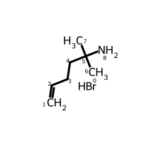 Br.C=CCCC(C)(C)N